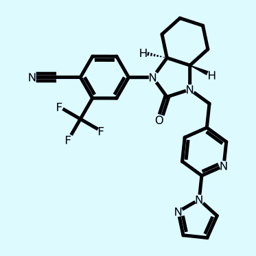 N#Cc1ccc(N2C(=O)N(Cc3ccc(-n4cccn4)nc3)[C@H]3CCCC[C@@H]32)cc1C(F)(F)F